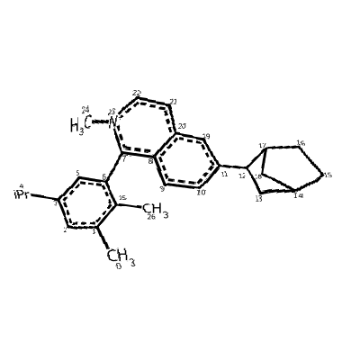 Cc1cc(C(C)C)cc(-c2c3ccc(C4CC5CCC4C5)cc3cc[n+]2C)c1C